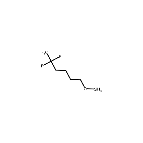 FC(F)(F)C(F)(F)CCCCO[SiH3]